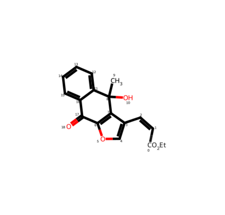 CCOC(=O)/C=C\c1coc2c1C(C)(O)c1ccccc1C2=O